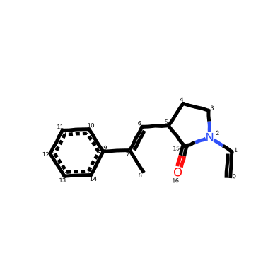 C=CN1CCC(C=C(C)c2ccccc2)C1=O